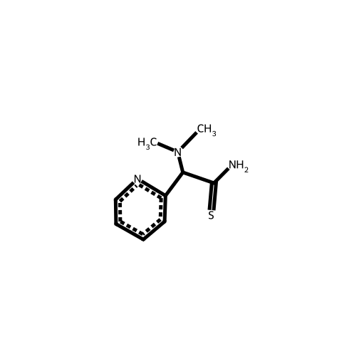 CN(C)C(C(N)=S)c1ccccn1